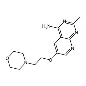 Cc1nc(N)c2cc(OCCN3CCOCC3)cnc2n1